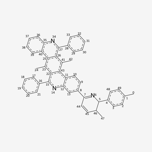 Cc1ccc(C2N=C(c3ccc4c(c3)nc(-c3ccccc3)c3c(C)c5c(c(-c6ccccc6)nc6ccccc65)c(C)c34)C=CC2C)cc1